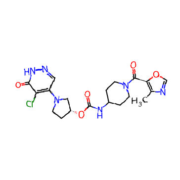 Cc1ncoc1C(=O)N1CCC(NC(=O)O[C@@H]2CCN(c3cn[nH]c(=O)c3Cl)C2)CC1